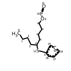 CCCCC(CCCCOP=O)Sc1ccccc1